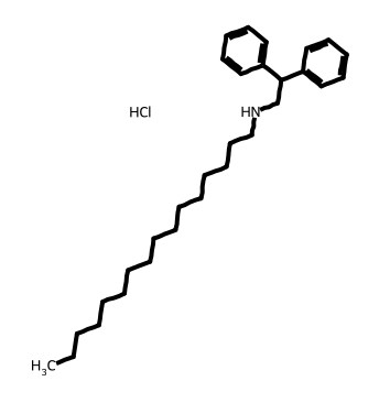 CCCCCCCCCCCCCCCCNCC(c1ccccc1)c1ccccc1.Cl